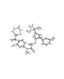 CC(C(=O)NCc1cc(C(C)(C)C)nn1-c1cccc(Cl)c1)c1ccc(C(=O)N2CCOCC2)c(F)c1